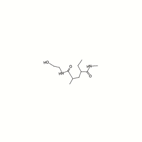 CCC(CC(C)C(=O)NCCO)C(=O)NC